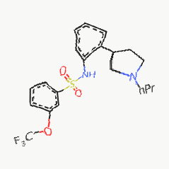 CCCN1CCC(c2ccccc2NS(=O)(=O)c2cccc(OC(F)(F)F)c2)C1